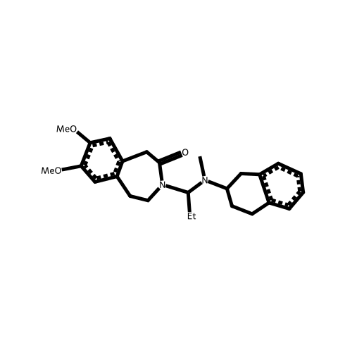 CCC(N1CCc2cc(OC)c(OC)cc2CC1=O)N(C)C1CCc2ccccc2C1